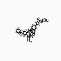 CC(C)(C)OC(=O)N1CC(N2CCC(n3nc(-c4ccc(Oc5ccccc5)cc4)c4c(N)ncnc43)[C@@H](F)C2)C1